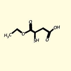 CCOC(=O)C(S)CC(=O)O